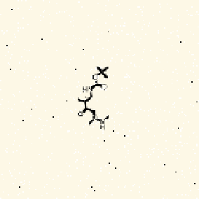 CNN(C)CC(=O)C(C)CNC(=O)OC(C)(C)C